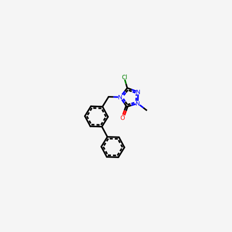 Cn1nc(Cl)n(Cc2cccc(-c3ccccc3)c2)c1=O